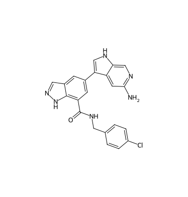 Nc1cc2c(-c3cc(C(=O)NCc4ccc(Cl)cc4)c4[nH]ncc4c3)c[nH]c2cn1